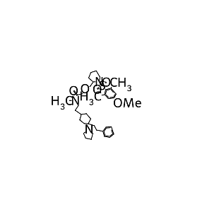 COc1cc(C)c(S(=O)(=O)N2CCCCC2COCC(=O)N(C)CCC2CCC(CCc3ccccc3)(N3CCCC3)CC2)c(C)c1